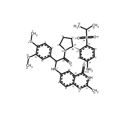 COc1ccc(C(Nc2ccc3nc(C)[nH]c(=O)c3c2)C(=O)N2CCC[C@@H]2c2cc(N)ccc2S(=O)(=O)C(C)C)cc1OC